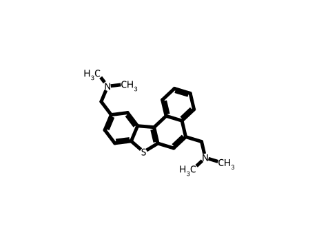 CN(C)Cc1ccc2sc3cc(CN(C)C)c4ccccc4c3c2c1